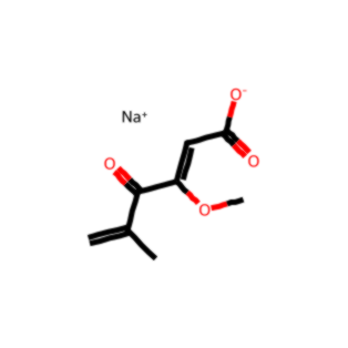 C=C(C)C(=O)C(=CC(=O)[O-])OC.[Na+]